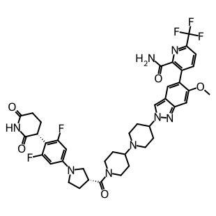 COc1cc2nn(C3CCN(C4CCN(C(=O)[C@@H]5CCN(c6cc(F)c([C@H]7CCC(=O)NC7=O)c(F)c6)C5)CC4)CC3)cc2cc1-c1ccc(C(F)(F)F)nc1C(N)=O